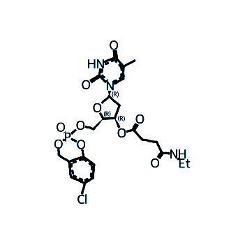 CCNC(=O)CCC(=O)O[C@@H]1C[C@H](n2cc(C)c(=O)[nH]c2=O)O[C@@H]1COP1(=O)OCc2cc(Cl)ccc2O1